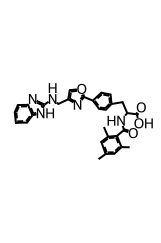 Cc1cc(C)c(C(=O)NC(Cc2ccc(-c3nc(CNc4nc5ccccc5[nH]4)co3)cc2)C(=O)O)c(C)c1